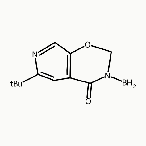 BN1COc2cnc(C(C)(C)C)cc2C1=O